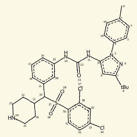 Cc1ccc(-n2nc(C(C)(C)C)cc2NC(=O)Nc2cccc(C(C3CCNCC3)S(=O)(=O)c3ccc(Cl)cc3Cl)c2)cc1